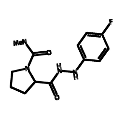 CNC(=O)N1CCCC1C(=O)NNc1ccc(F)cc1